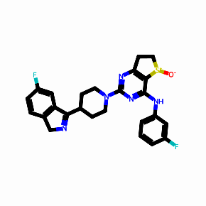 [O-][S+]1CCc2nc(N3CCC(C4=NCc5ccc(F)cc54)CC3)nc(Nc3cccc(F)c3)c21